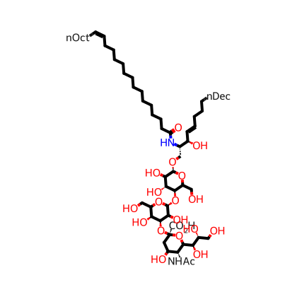 CCCCCCCC/C=C\CCCCCCCCCCCCCC(=O)N[C@@H](CO[C@@H]1OC(CO)[C@@H](O[C@@H]2OC(CO)[C@H](O)[C@H](O[C@]3(C(=O)O)CC(O)[C@@H](NC(C)=O)C([C@H](O)[C@H](O)CO)O3)C2O)[C@H](O)C1O)[C@H](O)/C=C/CCCCCCCCCCCCC